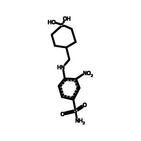 NS(=O)(=O)c1ccc(NCC2CCS(O)(O)CC2)c([N+](=O)[O-])c1